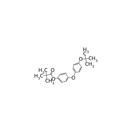 CC(C)(C)Oc1ccc(Oc2ccc(OC(=O)C(C)(C)C)cc2)cc1